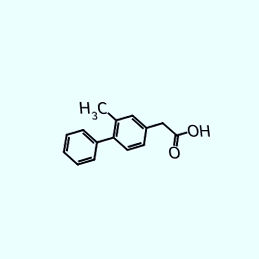 Cc1cc(CC(=O)O)ccc1-c1ccccc1